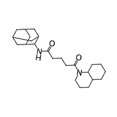 O=C(CCCC(=O)N1CCCC2CCCCC21)NC1C2CC3CC(C2)CC1C3